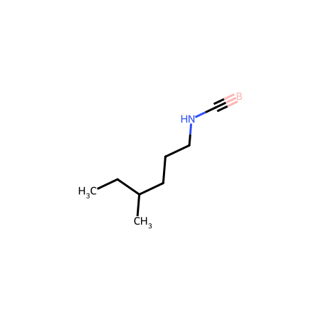 B#CNCCCC(C)CC